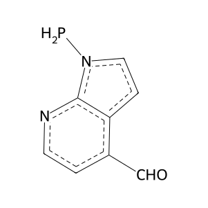 O=Cc1ccnc2c1ccn2P